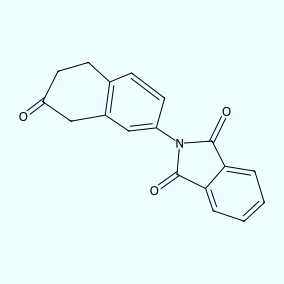 O=C1CCc2ccc(N3C(=O)c4ccccc4C3=O)cc2C1